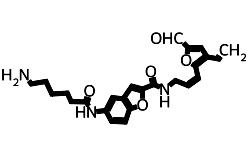 C=Cc1cc(C=O)oc1/C=C\CNC(=O)c1cc2cc(NC(=O)CCCCCN)ccc2o1